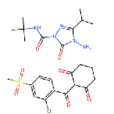 CC(C)c1nn(C(=O)NC(C)(C)C)c(=O)n1N.CS(=O)(=O)c1ccc(C(=O)C2C(=O)CCCC2=O)c(Cl)c1